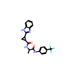 CC(NC(=O)C1CC1c1nc2ccccc2[nH]1)C(=O)Nc1ccc(C(F)(F)F)cc1